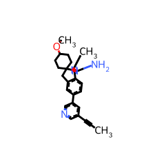 CC#Cc1cncc(-c2ccc3c(c2)CC2(CCC(OC)CC2)C32N=C(C)C(N)=N2)c1